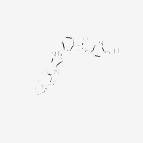 Cc1ccc(NC(=O)c2cccc(-n3cc(NC(=O)NN4CCCC4)cn3)c2)cn1